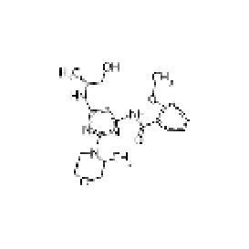 COc1ccccc1C(=O)Nc1cc(N[C@@H](C)CO)nc(N2CCOC[C@@H]2C)n1